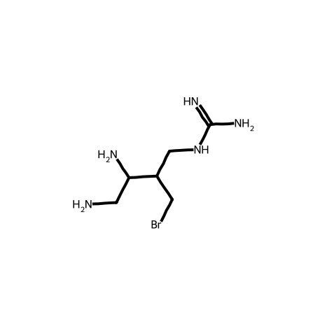 N=C(N)NCC(CBr)C(N)CN